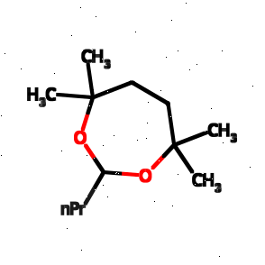 CCCC1OC(C)(C)CCC(C)(C)O1